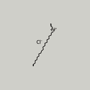 C=CCCCCCCCCCCCCCCCCCCC[N+](C)(C)CC=C.[Cl-]